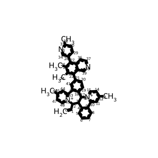 C=CC1C2c3ccccc3-c3cc(C)cc[n+]3C2c2ccc(-c3c(C)c(C)c(-c4ccc(C)nc4)c4ccncc34)cc2-c2cc(C)cc[n+]21